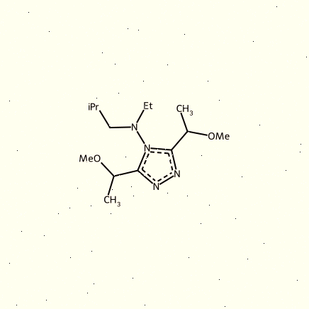 CCN(CC(C)C)n1c(C(C)OC)nnc1C(C)OC